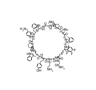 CCCC[C@H]1C(=O)N2CCC[C@@H]2C(=O)N[C@@H](CN)C(=O)N[C@@H](C(C)C)C(=O)N(C)C(Cc2ccccc2)C(=O)N[C@@H](Cc2ccc(CN)cc2)C(=O)N2CCCC[C@@H]2C(=O)NC[C@@H](Cc2c[nH]c3ccccc23)C(=O)N[C@H](CCc2ccc(O)cc2)C(=O)N[C@@H](CCCCN)C(=O)N[C@H](C(=O)NCC(N)=O)CSCC(=O)N[C@@H](Cc2cc(F)c(F)c(F)c2)C(=O)N(C)[C@@H](Cc2ccccc2)C(=O)N1C